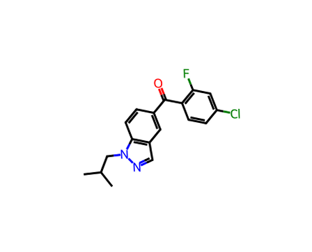 CC(C)Cn1ncc2cc(C(=O)c3ccc(Cl)cc3F)ccc21